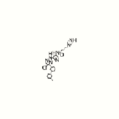 Cc1cccc(-c2cccc(-c3nc(Nc4cncc(NC(=O)CCCCN5CCNCC5)c4)ncc3Cl)c2)c1